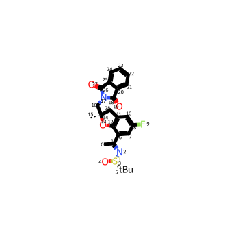 C/C(=N\[S@+]([O-])C(C)(C)C)c1cc(F)cc2c1O[C@@](C)(CN1C(=O)c3ccccc3C1=O)C2